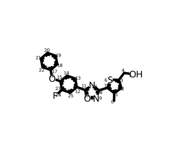 Cc1cc(CO)sc1-c1noc(-c2ccc(Oc3ccccc3)c(F)c2)n1